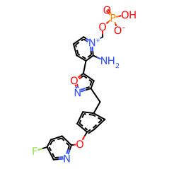 Nc1c(-c2cc(Cc3ccc(Oc4ccc(F)cn4)cc3)no2)ccc[n+]1COP(=O)([O-])O